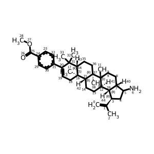 C=C(C)[C@@H]1CC(N)[C@H]2CC[C@]3(C)[C@H](CC[C@@H]4[C@@]5(C)CC=C(c6ccc(C(=O)OC)cc6)C(C)(C)[C@@H]5CC[C@]43C)[C@H]21